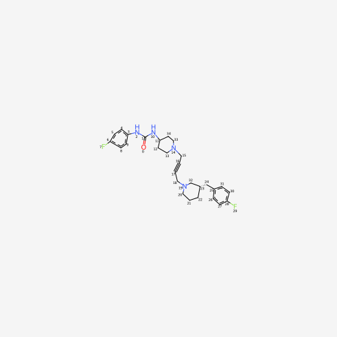 O=C(Nc1ccc(F)cc1)NC1CCN(CC#CCN2CCC[C@@H](Cc3ccc(F)cc3)C2)CC1